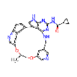 C[C@@H]1COc2cncc(c2)CNc2nc(NC(=O)C3CC3)nc3[nH]cc(c23)-c2ccc3ncc(cc3c2)O1